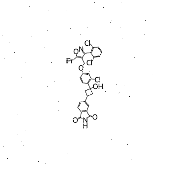 CC(C)c1onc(-c2c(Cl)cccc2Cl)c1COc1ccc(C2(O)CC(c3ccc4c(c3)C(=O)NC4=O)C2)c(Cl)c1